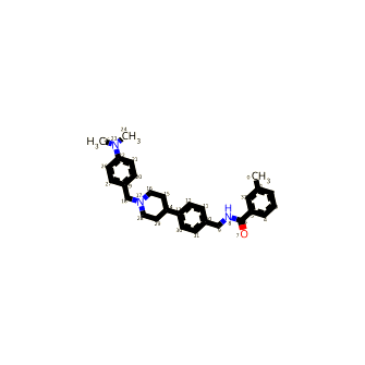 Cc1cccc(C(=O)NCc2ccc(C3CCN(Cc4ccc(N(C)C)cc4)CC3)cc2)c1